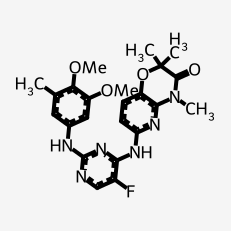 COc1cc(Nc2ncc(F)c(Nc3ccc4c(n3)N(C)C(=O)C(C)(C)O4)n2)cc(C)c1OC